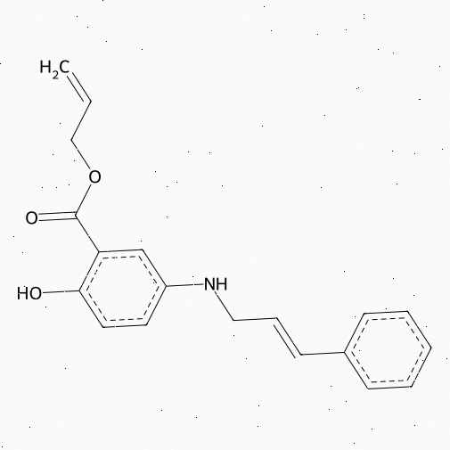 C=CCOC(=O)c1cc(NCC=Cc2ccccc2)ccc1O